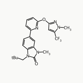 Cn1nc(Oc2cccc(-c3ccc4c(c3)n(C)c(=O)n4CC(C)(C)C)n2)cc1C(F)(F)F